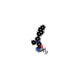 C/N=C\c1c(C)oc2ccc(N(c3ccccc3)c3ccc(-c4ccc5c(ccc6c7ccccc7ccc56)c4)cc3)cc12